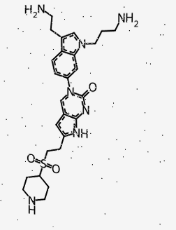 NCCCn1cc(CCN)c2ccc(-n3cc4cc(CCS(=O)(=O)C5CCNCC5)[nH]c4nc3=O)cc21